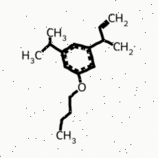 [CH2]C(C=C)c1cc(OCCCC)cc(C(C)C)c1